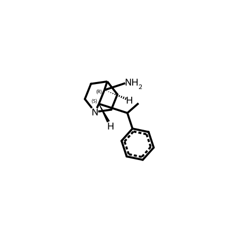 CC(c1ccccc1)[C@H]1[C@H](N)C2CCN1CC2